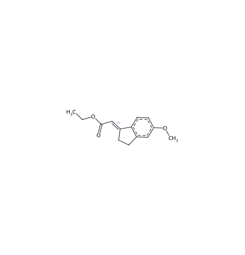 CCOC(=O)/C=C1\CCc2cc(OC)ccc21